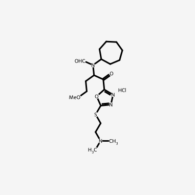 COCCC(C(=O)c1nnc(SCCN(C)C)o1)N(C=O)C1CCCCCC1.Cl